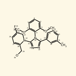 COc1cccc(OC)c1-n1c(-c2cncc(C)c2)nnc1N1CC(F)=CC=C1C[O]